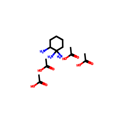 CC(=O)O.CC(=O)O.CC(=O)O.CC(=O)O.NC1CCCCC1(N)N